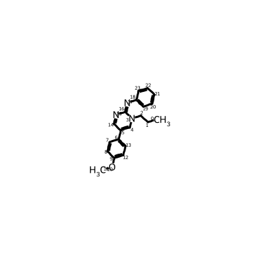 CCCn1cc(-c2ccc(OC)cc2)cnc1=Nc1ccccc1